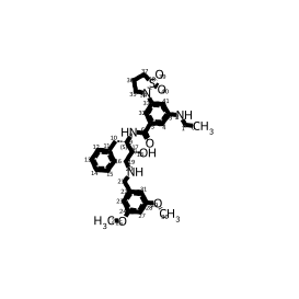 CCNc1cc(C(=O)N[C@@H](Cc2ccccc2)[C@H](O)CNCc2cc(OC)cc(OC)c2)cc(N2CCCS2(=O)=O)c1